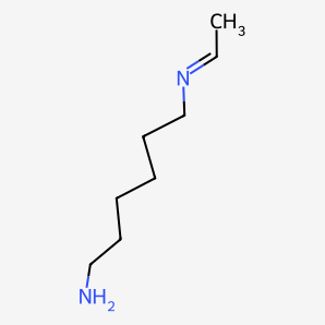 CC=NCCCCCCN